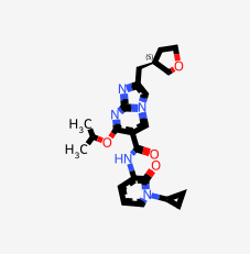 CC(C)Oc1nc2nc(C[C@H]3CCOC3)cn2cc1C(=O)Nc1cccn(C2CC2)c1=O